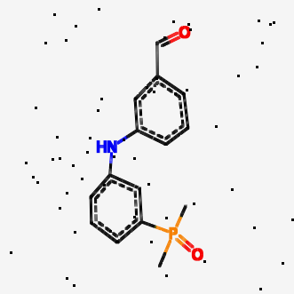 CP(C)(=O)c1cccc(Nc2cccc(C=O)c2)c1